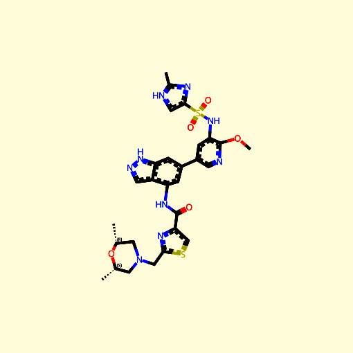 COc1ncc(-c2cc(NC(=O)c3csc(CN4C[C@@H](C)O[C@@H](C)C4)n3)c3cn[nH]c3c2)cc1NS(=O)(=O)c1c[nH]c(C)n1